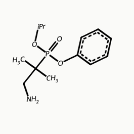 CC(C)OP(=O)(Oc1ccccc1)C(C)(C)CN